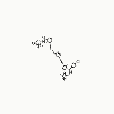 Cc1c(C#Cc2cn(CCCC#Cc3cccc4c3CN(C3CCC(=O)NC3=O)C4=O)nn2)sc2c1C(c1ccc(Cl)cc1)=NCc1nnc(C)n1-2